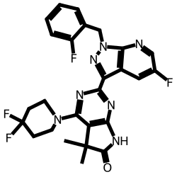 CC1(C)C(=O)Nc2nc(-c3nn(Cc4ccccc4F)c4ncc(F)cc34)nc(N3CCC(F)(F)CC3)c21